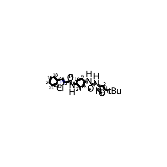 CC(C)(C)c1cc(NC(=O)Nc2ccc(NC(=O)/C=C/c3ccccc3Cl)cc2)no1